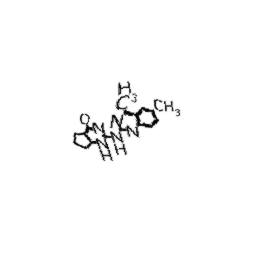 Cc1ccc2nc(Nc3nc(=O)c4c([nH]3)CCC4)nc(C)c2c1